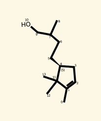 CC1=CC[C@H](CCC(C)CO)C1(C)C